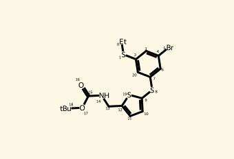 CCSc1cc(Br)cc(Sc2ccc(CNC(=O)OC(C)(C)C)s2)c1